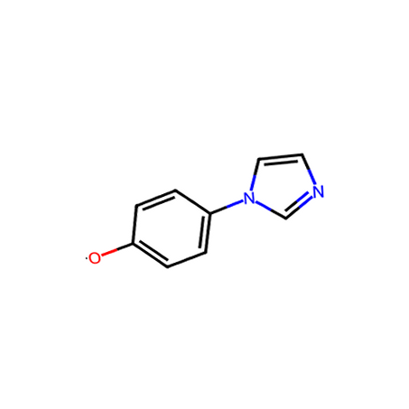 [O]c1ccc(-n2ccnc2)cc1